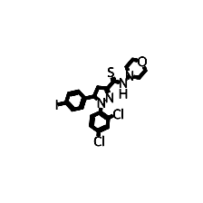 S=C(NN1CCOCC1)C1=NN(c2ccc(Cl)cc2Cl)C(c2ccc(I)cc2)C1